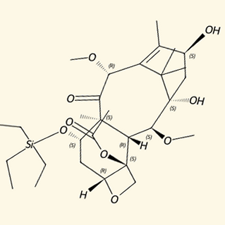 CC[Si](CC)(CC)O[C@H]1C[C@H]2OC[C@@]2(OC(C)=O)[C@H]2[C@H](OC)[C@]3(O)C[C@H](O)C(C)=C([C@@H](OC)C(=O)[C@]12C)C3(C)C